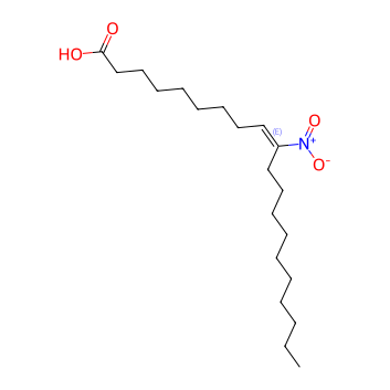 CCCCCCCCCC/C(=C\CCCCCCCC(=O)O)[N+](=O)[O-]